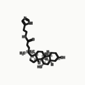 C[C@H](CCC(=O)NCCc1cnc[nH]1)[C@H]1CC[C@H]2[C@@H]3[C@@H](O)C[C@@H]4C[C@H](O)CC[C@]4(C)[C@H]3CC[C@]12C